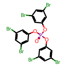 O=P(Oc1cc(Br)cc(Br)c1)(Oc1cc(Br)cc(Br)c1)Oc1cc(Br)cc(Br)c1